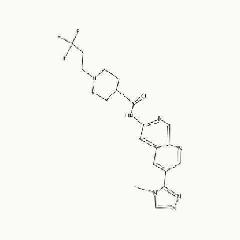 Cn1cnnc1-c1cnc2cnc(NC(=O)C3CCN(CCC(F)(F)F)CC3)cc2c1